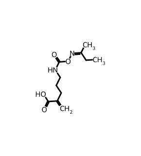 C=C(CCCNC(=O)ON=C(C)CC)C(=O)O